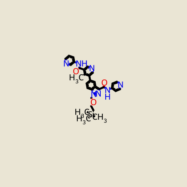 Cc1c(C(=O)Nc2cccnc2)cncc1-c1ccc2c(c1)c(C(=O)Nc1ccncc1)nn2COCC[Si](C)(C)C